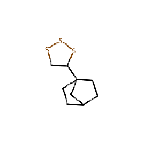 C1CC2(C3CSSS3)CCC1C2